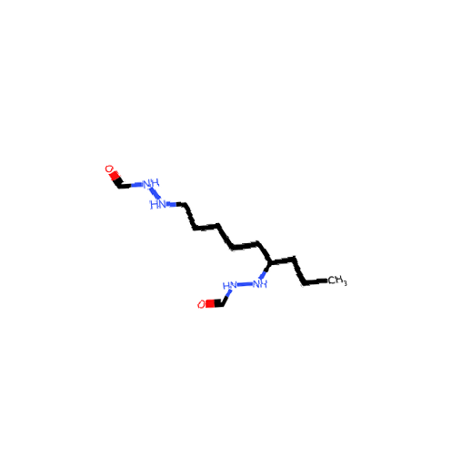 CCCC(CCCCCNNC=O)NNC=O